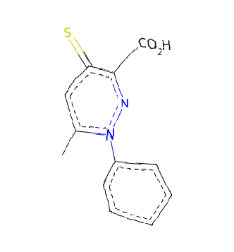 Cc1cc(=S)c(C(=O)O)nn1-c1ccccc1